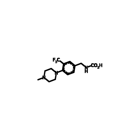 CN1CCN(c2ccc(CNC(=O)O)cc2C(F)(F)F)CC1